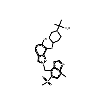 Cc1cc(S(C)(=O)=O)c(Cn2cc3ccc(C#N)c(OC4CCN(C(C)(C)C(=O)O)CC4)c3n2)c2cc[nH]c12